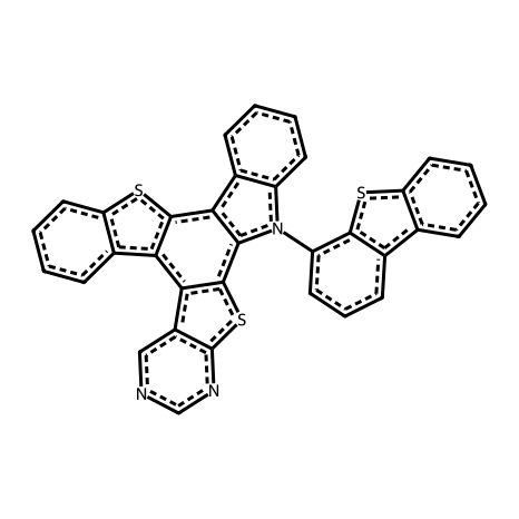 c1ccc2c(c1)sc1c(-n3c4ccccc4c4c5sc6ccccc6c5c5c6cncnc6sc5c43)cccc12